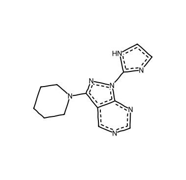 c1c[nH]c(-n2nc(N3CCCCC3)c3cncnc32)n1